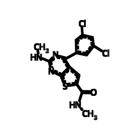 CNC(=O)c1cc2c(-c3cc(Cl)cc(Cl)c3)nc(NC)nc2s1